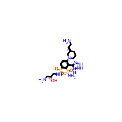 NC/C=C1\CCCN(c2ccc(S(=O)(=O)NC[C@H](O)CN)c(S(N)(=O)=O)c2C2=NNNN2)C1